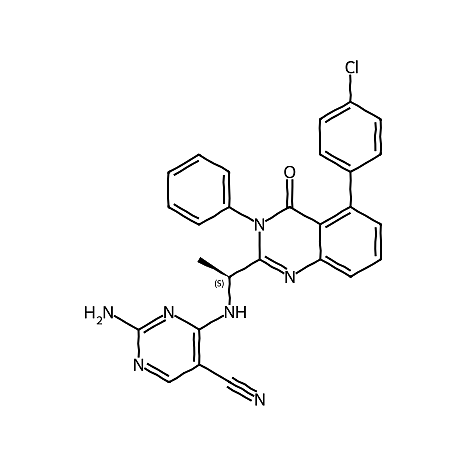 C[C@H](Nc1nc(N)ncc1C#N)c1nc2cccc(-c3ccc(Cl)cc3)c2c(=O)n1-c1ccccc1